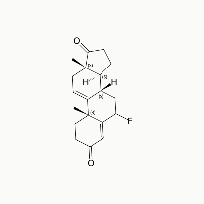 C[C@]12CCC(=O)C=C1C(F)C[C@@H]1C2=CC[C@]2(C)C(=O)CC[C@@H]12